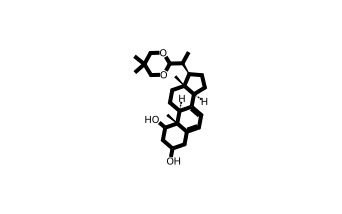 CC(C1OCC(C)(C)CO1)[C@H]1CC[C@H]2C3=CC=C4CC(O)CC(O)[C@]4(C)[C@H]3CC[C@]12C